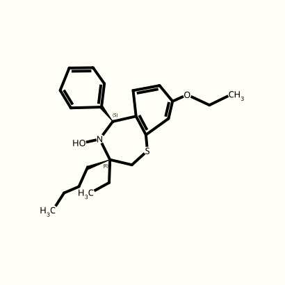 CCCC[C@]1(CC)CSc2cc(OCC)ccc2[C@H](c2ccccc2)N1O